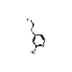 CC(C)CSc1ccnc(C#N)c1